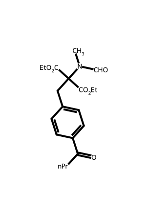 CCCC(=O)c1ccc(CC(C(=O)OCC)(C(=O)OCC)N(C)C=O)cc1